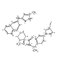 CO[C@]1(C(=O)N[C@@H](C)c2cnc(-n3cc(F)cn3)cn2)CC[C@@H](c2nc(Nc3cc(C)[nH]n3)cc3cccnc32)CC1